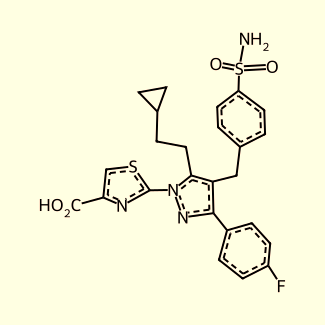 NS(=O)(=O)c1ccc(Cc2c(-c3ccc(F)cc3)nn(-c3nc(C(=O)O)cs3)c2CCC2CC2)cc1